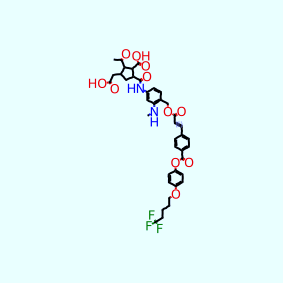 CNc1cc(NC(=O)C2CC(CC(=O)O)C(C(C)=O)C2C(=O)O)ccc1COC(=O)/C=C/c1ccc(C(=O)Oc2ccc(OCCCCC(F)(F)F)cc2)cc1